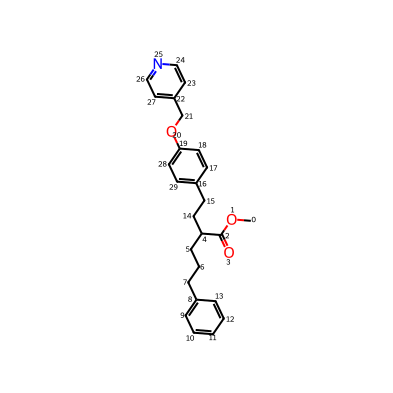 COC(=O)C(CCCc1ccccc1)CCc1ccc(OCc2ccncc2)cc1